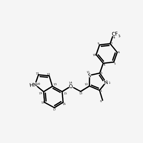 Cc1nc(-c2ccc(C(F)(F)F)cc2)sc1COc1cccc2[nH]ccc12